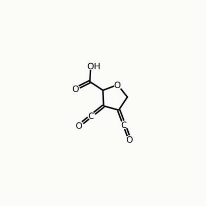 O=C=C1COC(C(=O)O)C1=C=O